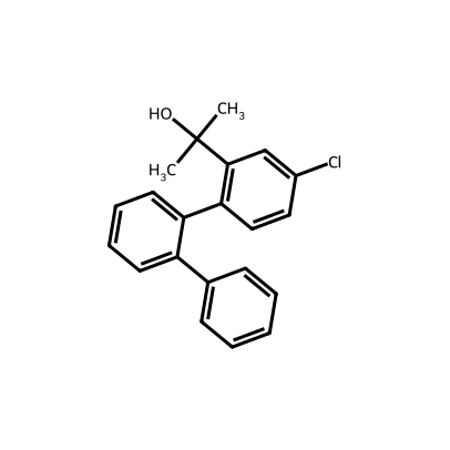 CC(C)(O)c1cc(Cl)ccc1-c1ccccc1-c1ccccc1